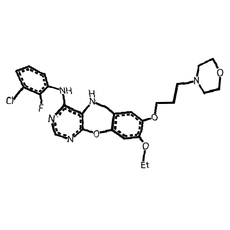 CCOc1cc2c(cc1OCCCN1CCOCC1)CNc1c(Nc3cccc(Cl)c3F)ncnc1O2